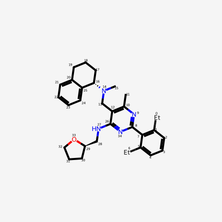 CCc1cccc(CC)c1-c1nc(C)c(CN(C)[C@H]2CCCc3ccccc32)c(NC[C@H]2CCCO2)n1